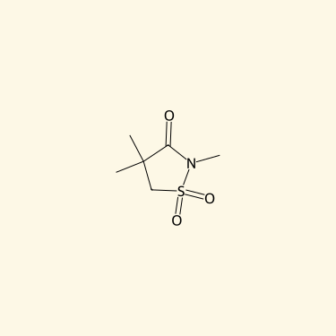 CN1C(=O)C(C)(C)CS1(=O)=O